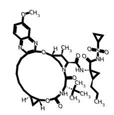 CCC[C@@H]1C[C@]1(NC(=O)[C@@H]1[C@H](C)[C@@H]2CN1C(=O)[C@H](C(C)(C)C)NC(=O)O[C@@H]1C[C@H]1CCCCCc1nc3ccc(OC)cc3nc1O2)C(=O)NS(=O)(=O)C1CC1